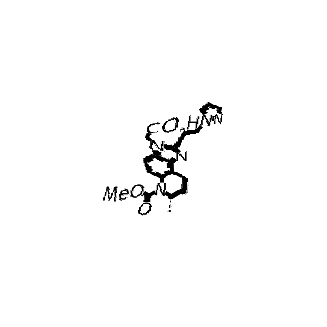 COC(=O)N1c2ccc3c(nc(CCn4cccn4)n3CC(=O)O)c2CC[C@@H]1C